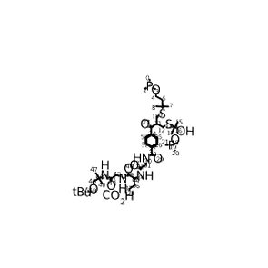 CP(C)OCCC(C)(C)SCC(CSC(C)(O)COP(C)C)C(=O)c1ccc(C(=O)NCC(=O)N[C@@H](CCC(=O)O)C(=O)NCC(=O)NC(C)(C)COC(C)(C)C)cc1